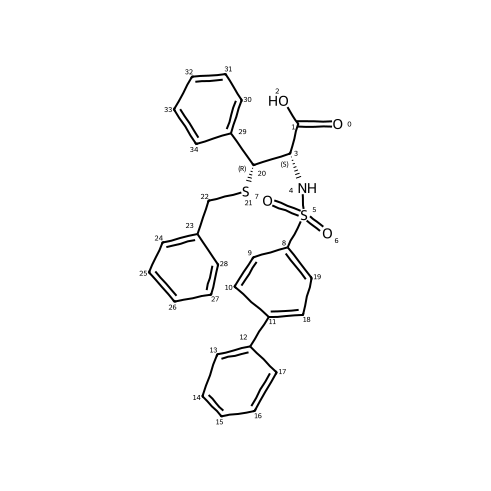 O=C(O)[C@H](NS(=O)(=O)c1ccc(-c2ccccc2)cc1)[C@H](SCc1ccccc1)c1ccccc1